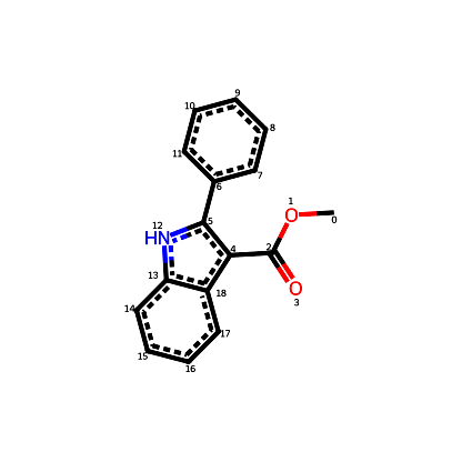 COC(=O)c1c(-c2ccccc2)[nH]c2ccccc12